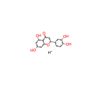 O=c1cc(-c2ccc(O)c(O)c2)oc2cc(O)cc(O)c12.[H+]